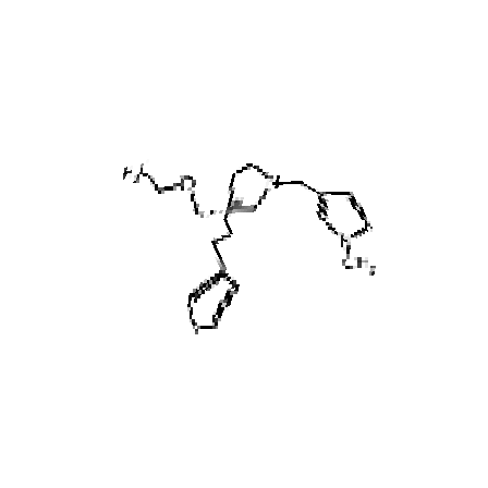 CCOC[C@]1(CCc2ccsc2)CCN(Cc2cnn(C)c2)C1